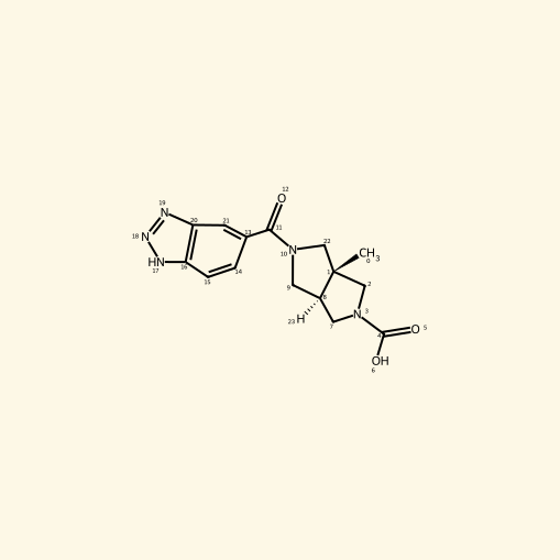 C[C@@]12CN(C(=O)O)C[C@H]1CN(C(=O)c1ccc3[nH]nnc3c1)C2